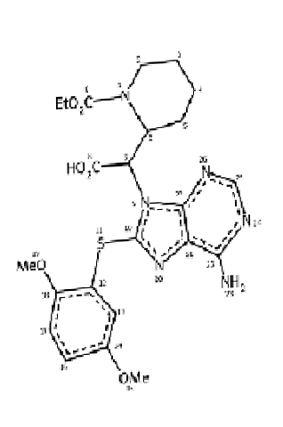 CCOC(=O)N1CCCCC1C(C(=O)O)n1c(Sc2cc(OC)ccc2OC)nc2c(N)ncnc21